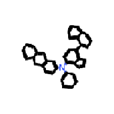 C1=Cc2c(-c3cccc4ccccc34)ccc(N(c3ccccc3)c3ccc4c(c3)C=C3C=CC=CC3C4)c2C=1